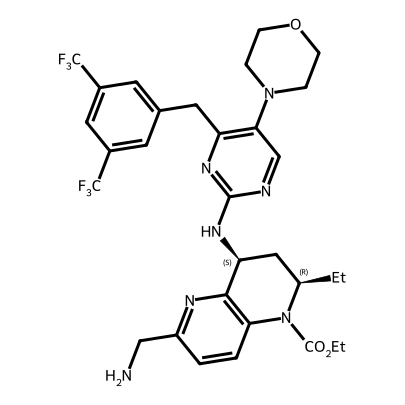 CCOC(=O)N1c2ccc(CN)nc2[C@@H](Nc2ncc(N3CCOCC3)c(Cc3cc(C(F)(F)F)cc(C(F)(F)F)c3)n2)C[C@H]1CC